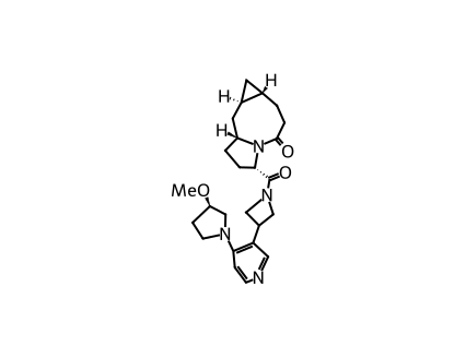 CO[C@@H]1CCN(c2ccncc2C2CN(C(=O)[C@@H]3CC[C@@H]4C[C@H]5C[C@@H]5CCC(=O)N43)C2)C1